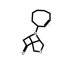 O=C1CC2N(C3/C=C\CCCCC3)C3COCC132